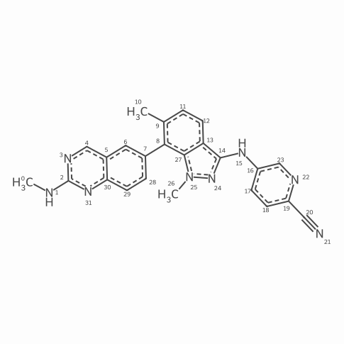 CNc1ncc2cc(-c3c(C)ccc4c(Nc5ccc(C#N)nc5)nn(C)c34)ccc2n1